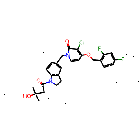 CC(C)(O)CC(=O)N1CCc2cc(Cn3ccc(OCc4ccc(F)cc4F)c(Cl)c3=O)ccc21